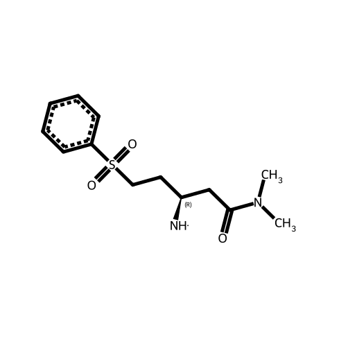 CN(C)C(=O)C[C@@H]([NH])CCS(=O)(=O)c1ccccc1